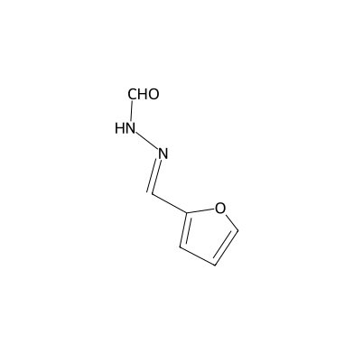 O=CNN=Cc1ccco1